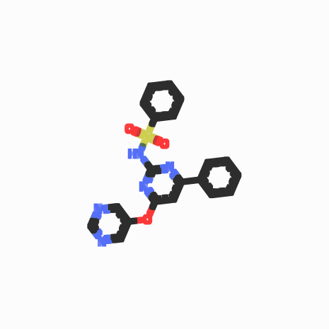 O=S(=O)(Nc1nc(Oc2cncnc2)cc(-c2ccccc2)n1)c1ccccc1